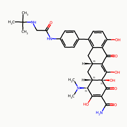 CN(C)[C@@H]1C(O)=C(C(N)=O)C(=O)[C@@]2(O)C(O)=C3C(=O)c4c(O)ccc(-c5ccc(NC(=O)CNC(C)(C)C)cc5)c4C[C@H]3C[C@@H]12